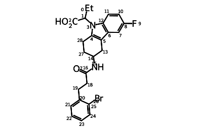 CCC(C(=O)O)n1c2c(c3cc(F)ccc31)CC(NC(=O)CCc1ccccc1Br)CC2